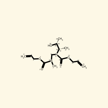 C=CCOC(=O)N(C)CN(C(=O)OCC=C)[C@@H](C)[C@@H](C)O